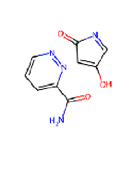 NC(=O)c1cccnn1.O=C1C=C(O)C=N1